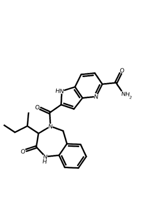 CCC(C)C1C(=O)Nc2ccccc2CN1C(=O)c1cc2nc(C(N)=O)ccc2[nH]1